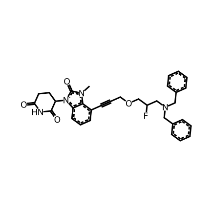 Cn1c(=O)n(C2CCC(=O)NC2=O)c2cccc(C#CCOCC(F)CN(Cc3ccccc3)Cc3ccccc3)c21